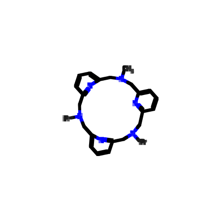 CC(C)N1Cc2cccc(n2)CN(C)Cc2cccc(n2)CN(C(C)C)Cc2cccc(n2)C1